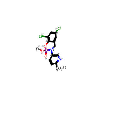 CCOC(=O)c1ccc(N2Cc3cc(Cl)cc(Cl)c3OP2(=O)OCC)cn1